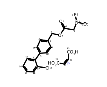 CCN(CC)CC(=O)OCc1ccc(-c2ccccc2Cl)cc1.O=C(O)/C=C\C(=O)O